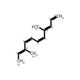 C=C/C=C(C)/C=C\C=C/C(C)=C/C